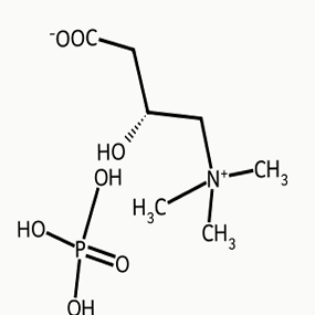 C[N+](C)(C)C[C@H](O)CC(=O)[O-].O=P(O)(O)O